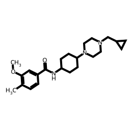 COc1cc(C(=O)NC2CCC(N3CCN(CC4CC4)CC3)CC2)ccc1C